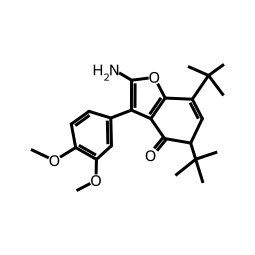 COc1ccc(-c2c(N)oc3c2C(=O)C(C(C)(C)C)C=C3C(C)(C)C)cc1OC